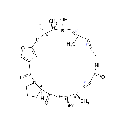 CC1=C\[C@@H](O)[C@H](C)[C@@H](F)Cc2nc(co2)C(=O)N2CCC[C@@H]2C(=O)O[C@H](C(C)C)[C@H](C)/C=C/C(=O)NC\C=C\1